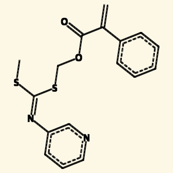 C=C(C(=O)OCSC(=Nc1cccnc1)SC)c1ccccc1